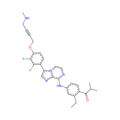 CCc1cc(Nc2nccn3c(-c4ccc(OCC#CCNC)c(F)c4F)cnc23)ccc1C(=O)C(C)C